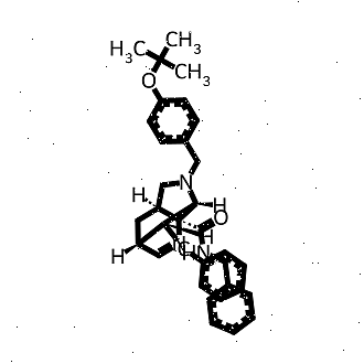 CC(C)(C)Oc1ccc(CN2C[C@@H]3C[C@H]4C=N[C@]3(C(=O)NCc3ccccc3)[C@@H]2[C@@H]4Cc2ccccc2)cc1